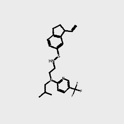 C=CC1CCc2ccc(SNCCN(CC(C)C)c3ccc(C(F)(F)F)cn3)cc21